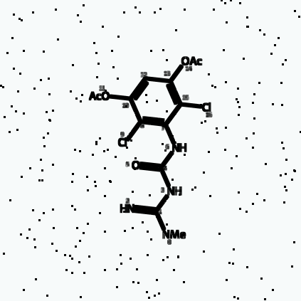 CNC(=N)NC(=O)Nc1c(Cl)c(OC(C)=O)cc(OC(C)=O)c1Cl